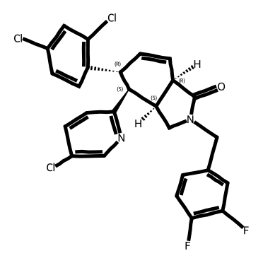 O=C1[C@@H]2C=C[C@@H](c3ccc(Cl)cc3Cl)[C@H](c3ccc(Cl)cn3)[C@@H]2CN1Cc1ccc(F)c(F)c1